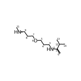 C=C(NCCCOCCCNC)C(C)C